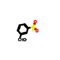 O=[C]c1cccc([SH](=O)=O)c1